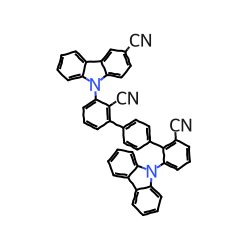 N#Cc1ccc2c(c1)c1ccccc1n2-c1cccc(-c2ccc(-c3c(C#N)cccc3-n3c4ccccc4c4ccccc43)cc2)c1C#N